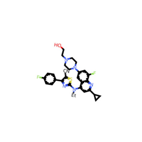 CCN(c1nc(-c2ccc(F)cc2)c(C#N)s1)c1cc(C2CC2)nc2c(F)cc(N3CCN(CCO)CC3)cc12